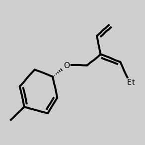 C=C/C(=C/CC)CO[C@@H]1C=CC(C)=CC1